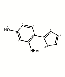 CC(=O)Nc1cc(O)ccc1-c1cccs1